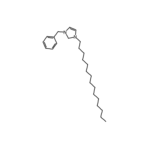 CCCCCCCCCCCCCCCN1C=CN(Cc2ccccc2)C1